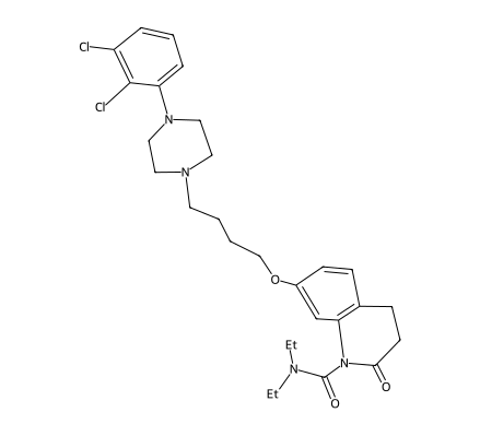 CCN(CC)C(=O)N1C(=O)CCc2ccc(OCCCCN3CCN(c4cccc(Cl)c4Cl)CC3)cc21